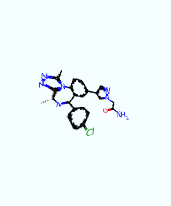 [CH2][C@H]1N=C(c2ccc(Cl)cc2)c2cc(-c3cnn(CC(N)=O)c3)ccc2-n2c(C)nnc21